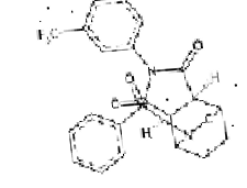 O=C1[C@@H]2C3CCC(CN3C(=O)c3ccccc3)[C@@H]2C(=O)N1c1cccc(C(F)(F)F)c1